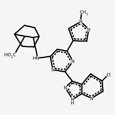 Cn1cc(-c2cc(NC3C4CCC(CC4)C3C(=O)O)nc(-c3n[nH]c4ncc(Cl)cc34)n2)cn1